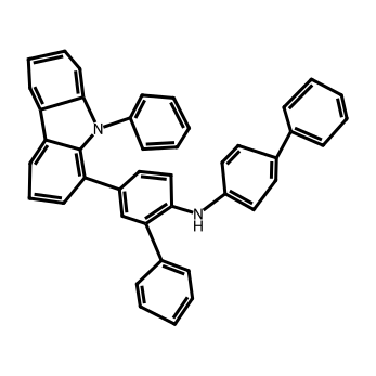 c1ccc(-c2ccc(Nc3ccc(-c4cccc5c6ccccc6n(-c6ccccc6)c45)cc3-c3ccccc3)cc2)cc1